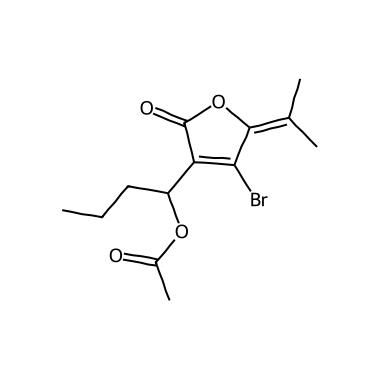 CCCC(OC(C)=O)C1=C(Br)C(=C(C)C)OC1=O